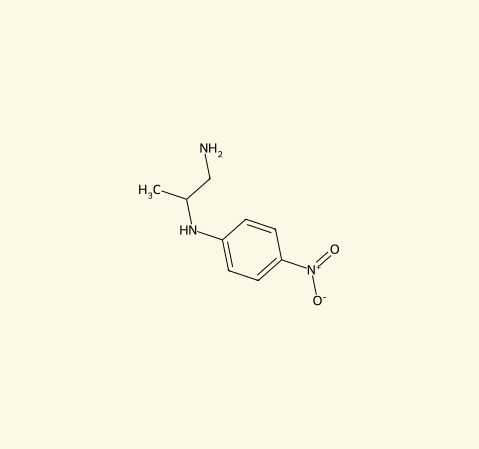 CC(CN)Nc1ccc([N+](=O)[O-])cc1